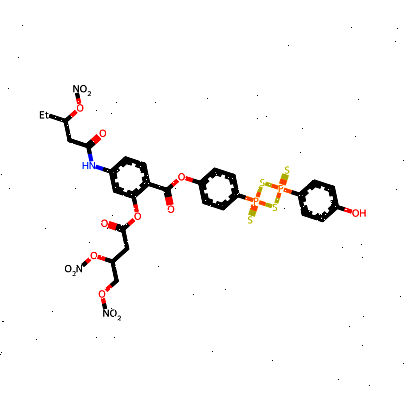 CCC(CC(=O)Nc1ccc(C(=O)Oc2ccc(P3(=S)SP(=S)(c4ccc(O)cc4)S3)cc2)c(OC(=O)CC(CO[N+](=O)[O-])O[N+](=O)[O-])c1)O[N+](=O)[O-]